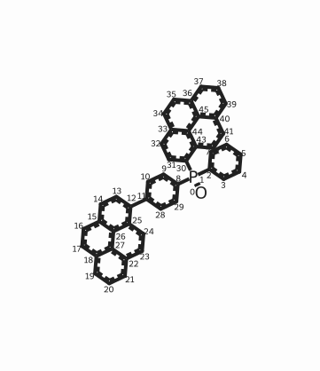 O=P(c1ccccc1)(c1ccc(-c2ccc3ccc4cccc5ccc2c3c45)cc1)c1ccc2ccc3cccc4ccc1c2c34